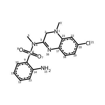 CN1CC(N(C)S(=O)(=O)c2ccccc2N)=Nc2ccc(Cl)cc21